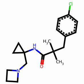 CC(C)(Cc1ccc(Cl)cc1)C(=O)NC1(CN2CCC2)CC1